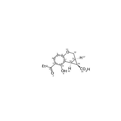 CCC(=O)c1ccc2c(c1O)[C@H]1[C@@H](CO2)[C@H]1C(=O)O